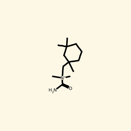 CC1(C)CCCC(C)(C[N+](C)(C)C(N)=O)C1